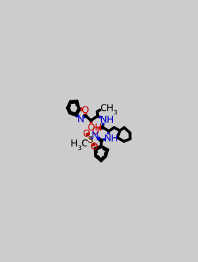 CCC(NC(=O)C(CC1CCCCC1)N/C(=N/S(C)(=O)=O)c1ccccc1)C(O)c1nc2ccccc2o1